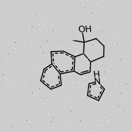 CC1(O)CCCC2C=Cc3c(ccc4ccccc34)C21.c1cc[nH]c1